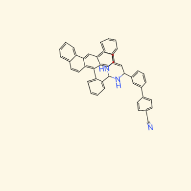 N#Cc1ccc(-c2cccc(C3C=C(c4ccccc4)NC(c4ccccc4-c4c5ccccc5cc5c4ccc4ccccc45)N3)c2)cc1